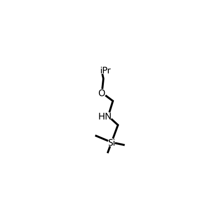 CC(C)COCNC[Si](C)(C)C